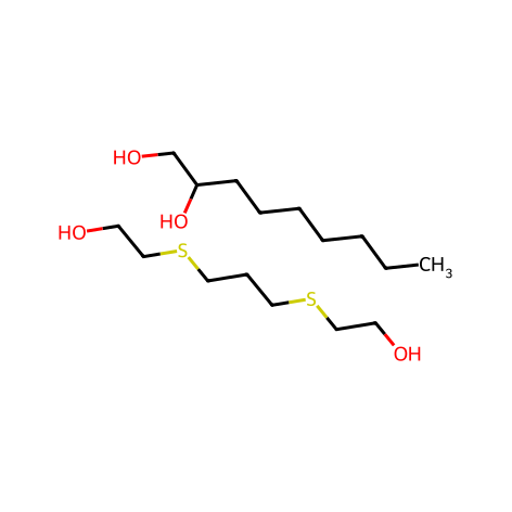 CCCCCCCC(O)CO.OCCSCCCSCCO